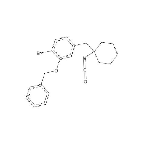 O=C=NC1(Cc2ccc(Br)c(OCc3ccccc3)c2)CCCCC1